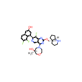 C[C@@]1(O)COCCN(c2nc(OC[C@@]34CCCN[C@@H]3CCC4)nc3c(F)c(-c4cc(O)cc5ccc(F)c(F)c45)ncc23)C1